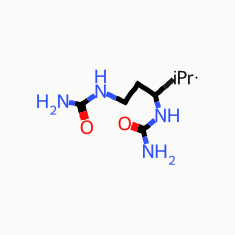 C[C](C)C(CCNC(N)=O)NC(N)=O